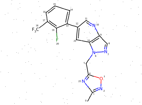 Cc1noc(Cn2ncc3ncc(-c4cccc(C(F)(F)F)c4F)cc32)n1